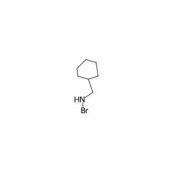 BrNCC1CCCCC1